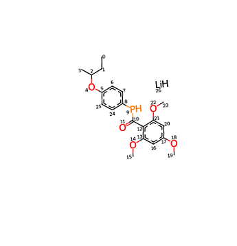 CCC(C)Oc1ccc(PC(=O)c2c(OC)cc(OC)cc2OC)cc1.[LiH]